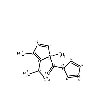 CC1=C(C(C)C)[N+](C)(C(=O)n2ccnc2)C=N1